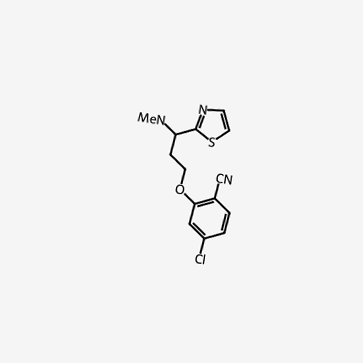 CNC(CCOc1cc(Cl)ccc1C#N)c1nccs1